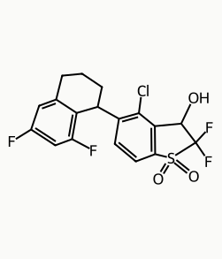 O=S1(=O)c2ccc(C3CCCc4cc(F)cc(F)c43)c(Cl)c2C(O)C1(F)F